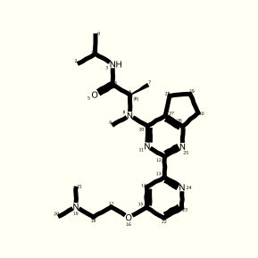 CC(C)NC(=O)[C@@H](C)N(C)c1nc(-c2cc(OCCN(C)C)ccn2)nc2c1CCC2